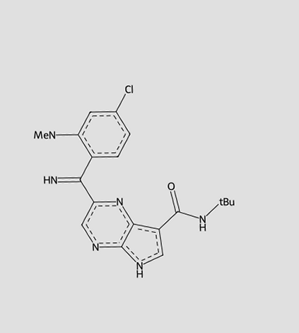 CNc1cc(Cl)ccc1C(=N)c1cnc2[nH]cc(C(=O)NC(C)(C)C)c2n1